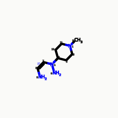 CN1CCC(N(N)/C=C\N)CC1